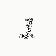 O=C(O)CN(Cc1ccc(CNC(=O)c2ccc(F)c(B(O)O)c2)cc1)C(=O)c1ccc(F)c(B(O)O)c1